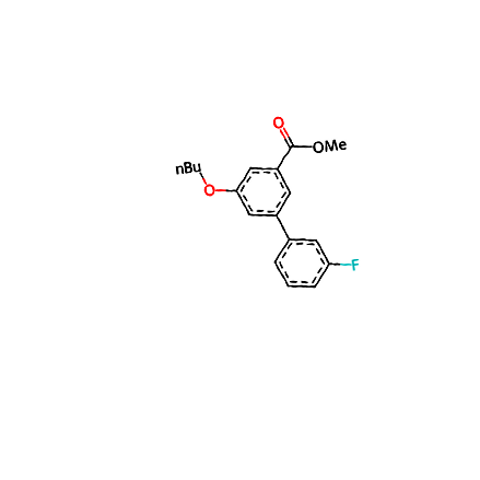 CCCCOc1cc(C(=O)OC)cc(-c2cccc(F)c2)c1